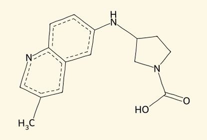 Cc1cnc2ccc(NC3CCN(C(=O)O)C3)cc2c1